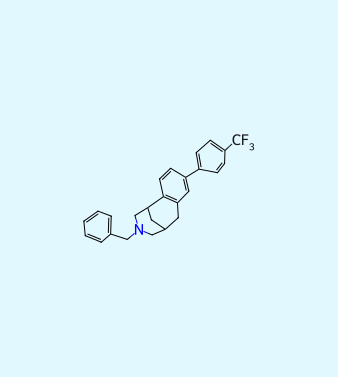 FC(F)(F)c1ccc(-c2ccc3c(c2)CC2CC3CN(Cc3ccccc3)C2)cc1